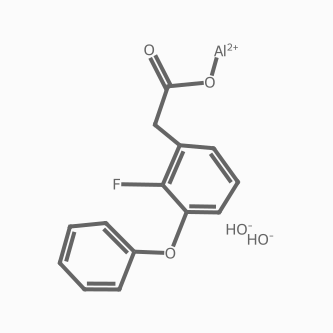 O=C(Cc1cccc(Oc2ccccc2)c1F)[O][Al+2].[OH-].[OH-]